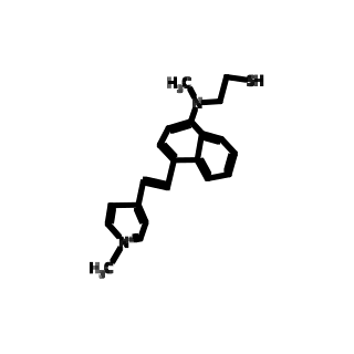 CN(CCS)c1ccc(/C=C/c2cc[n+](C)cc2)c2ccccc12